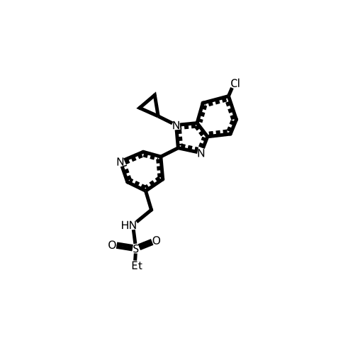 CCS(=O)(=O)NCc1cncc(-c2nc3ccc(Cl)cc3n2C2CC2)c1